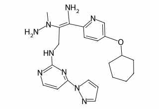 CN(N)/C(CNc1nccc(-n2cccn2)n1)=C(\N)c1ccc(OC2CCCCC2)cn1